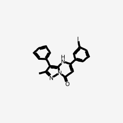 Cc1nn2c(=O)cc(-c3cccc(I)c3)[nH]c2c1-c1ccccc1